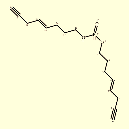 C#CCC=CCCCO[PH](=O)OCCCC=CCC#C